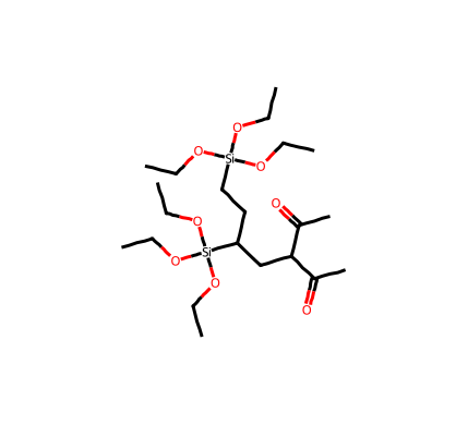 CCO[Si](CCC(CC(C(C)=O)C(C)=O)[Si](OCC)(OCC)OCC)(OCC)OCC